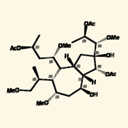 COC[C@@H](C)[C@@H]1C([C@H](C[C@H](C)OC(C)=O)OC)[C@@H]2C[C@](O)([C@@H](OC)[C@@H](C)OC(C)=O)[C@H](OC(C)=O)[C@@H]2[C@@H](O)C[C@@H]1OC